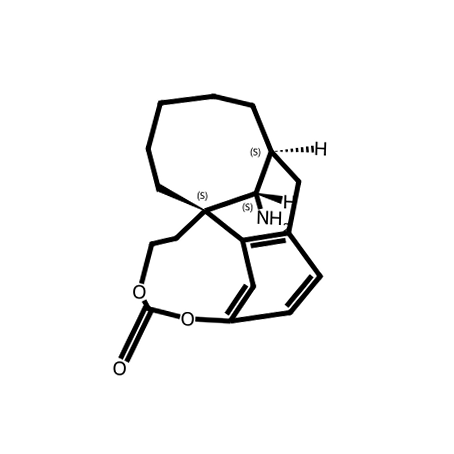 N[C@H]1[C@H]2CCCCC[C@@]13CCOC(=O)Oc1ccc(c3c1)C2